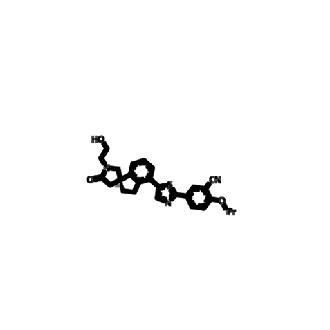 CC(C)Oc1ccc(-c2ncc(-c3cccc4c3CC[C@]43CC(=O)N(CCO)C3)s2)cc1C#N